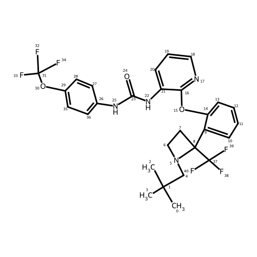 CC(C)(C)CN1CCC1(c1ccccc1Oc1ncccc1NC(=O)Nc1ccc(OC(F)(F)F)cc1)C(F)(F)F